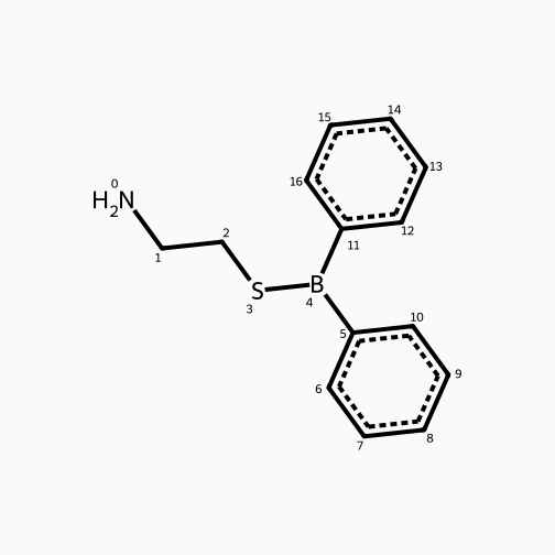 NCCSB(c1ccccc1)c1ccccc1